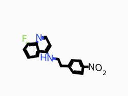 O=[N+]([O-])c1ccc(CCNc2ccnc3c(F)cccc23)cc1